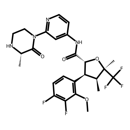 COc1c([C@H]2[C@H](C(=O)Nc3ccnc(N4CCN[C@@H](C)C4=O)c3)O[C@@](C)(C(F)(F)F)[C@H]2C)ccc(F)c1F